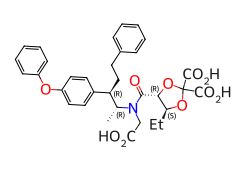 CC[C@@H]1OC(C(=O)O)(C(=O)O)O[C@H]1C(=O)N(CC(=O)O)[C@H](C)[C@H](CCc1ccccc1)c1ccc(Oc2ccccc2)cc1